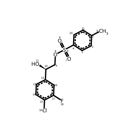 Cc1ccc(S(=O)(=O)OC[C@H](O)c2ccc(Cl)c(F)c2)cc1